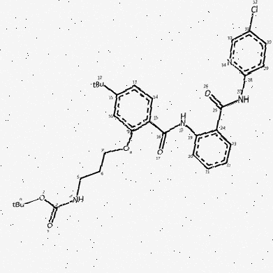 CC(C)(C)OC(=O)NCCCOc1cc(C(C)(C)C)ccc1C(=O)Nc1ccccc1C(=O)Nc1ccc(Cl)cn1